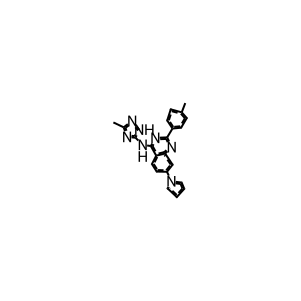 Cc1ccc(-c2nc(Nc3nc(C)n[nH]3)c3ccc(-n4cccc4)cc3n2)cc1